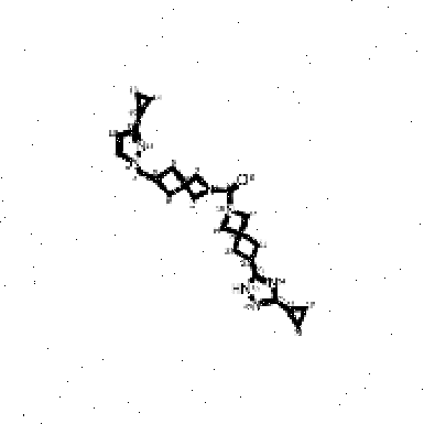 O=C(N1CC2(CC(Cn3ccc(C4CC4)n3)C2)C1)N1CC2(CC(c3nc(C4CC4)n[nH]3)C2)C1